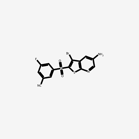 N#Cc1cc(F)cc(S(=O)(=O)c2sc3ncc(N)cc3c2Br)c1